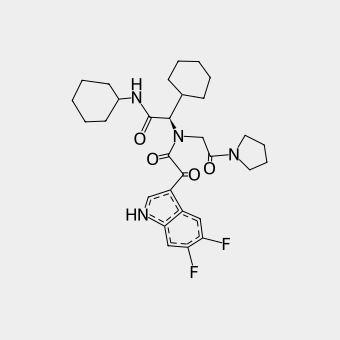 O=C(C(=O)N(CC(=O)N1CCCC1)[C@@H](C(=O)NC1CCCCC1)C1CCCCC1)c1c[nH]c2cc(F)c(F)cc12